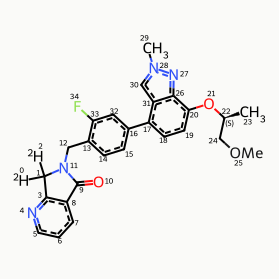 [2H]C1([2H])c2ncccc2C(=O)N1Cc1ccc(-c2ccc(O[C@@H](C)COC)c3nn(C)cc23)cc1F